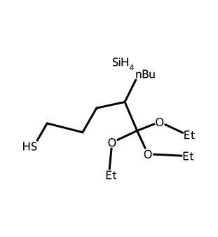 CCCCC(CCCS)C(OCC)(OCC)OCC.[SiH4]